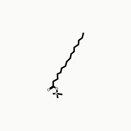 CCCCCCCCCCCCCCCC(=O)O[Si](C)(C)C